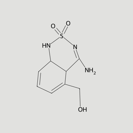 NC1=NS(=O)(=O)NC2C=CC=C(CO)C12